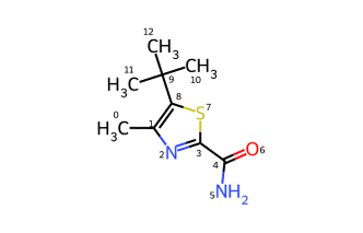 Cc1nc(C(N)=O)sc1C(C)(C)C